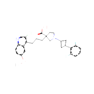 COc1ccc2ncc(Cl)c(CCCC3(C(=O)O)CCN(C4CC(c5c(F)cccc5F)C4)C3)c2c1